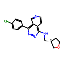 Clc1ccc(-c2nnc(NC[C@@H]3CCOC3)c3ccncc23)cc1